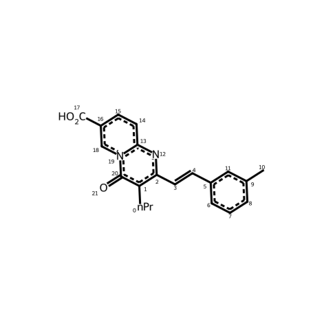 CCCc1c(C=Cc2cccc(C)c2)nc2ccc(C(=O)O)cn2c1=O